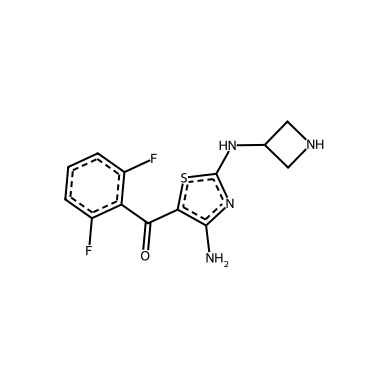 Nc1nc(NC2CNC2)sc1C(=O)c1c(F)cccc1F